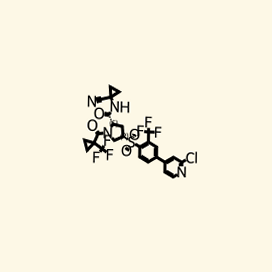 N#CC1(NC(=O)[C@@H]2C[C@@H](S(=O)(=O)c3ccc(-c4ccnc(Cl)c4)cc3C(F)(F)F)CN2C(=O)C2(C(F)(F)F)CC2)CC1